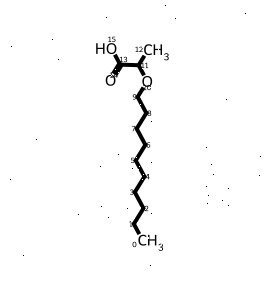 CCCCCCCCCCOC(C)C(=O)O